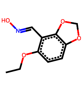 CCOc1ccc2c(c1C=NO)OCO2